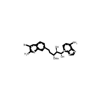 CO[C@H](CCc1ccc2cc(Br)c(N)nc2c1)[C@@H](O)[C@@H](O)n1ccc(N)c2ncnc1-2